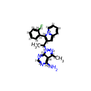 Cc1nn(C(C)c2cc3ccccn3c2-c2ccccc2F)c2ncnc(N)c12